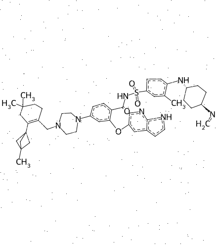 C=N[C@H]1CC[C@H](Nc2ccc(S(=O)(=O)NC(=O)c3ccc(N4CCN(CC5=C(C67CC(C)(C6)C7)CC(C)(C)CC5)CC4)cc3Oc3cnc4[nH]ccc4c3)cc2C)CC1